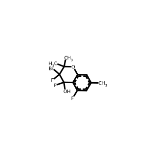 Cc1cc(F)c2c(c1)OC(C)(C)C(F)(Br)C2(O)F